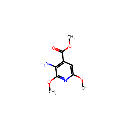 COC(=O)c1cc(OC)nc(OC)c1N